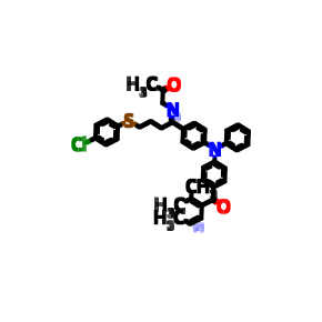 C/C=C\C(C(=O)c1ccc(N(c2ccccc2)c2ccc(/C(CCCSc3ccc(Cl)cc3)=N/CC(C)=O)cc2)cc1)=C(C)C